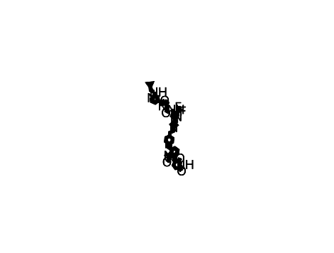 Cn1c(=O)n(C2CCC(=O)NC2=O)c2cccc(CN3CCC(CCN4CC(n5cc(NC(=O)c6coc(-c7ccnc(NCC8CC8)c7)n6)c(C(F)F)n5)C4)CC3)c21